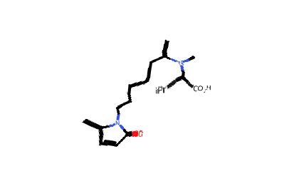 C=C1C=CC(=O)N1CCCCCC(=C)N(C)C(C(=O)O)C(C)C